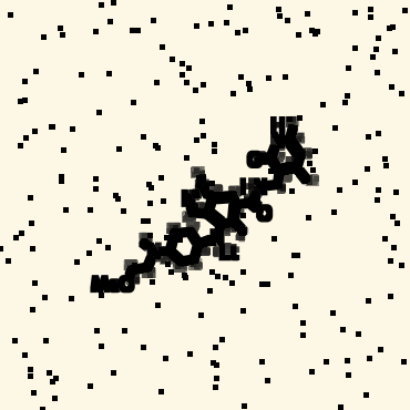 CCN(c1c(C)c(C(=O)NCc2c(C)cc(C)[nH]c2=O)cc2c1cnn2C)C1CCC(N(C)CCOC)CC1